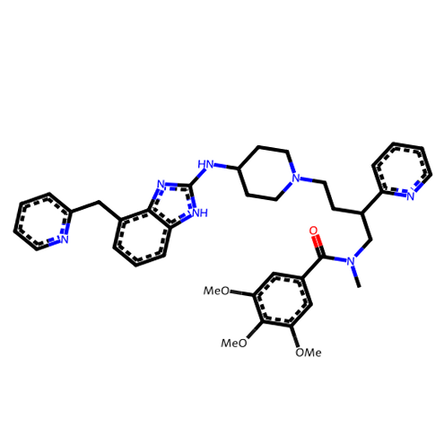 COc1cc(C(=O)N(C)CC(CCN2CCC(Nc3nc4c(Cc5ccccn5)cccc4[nH]3)CC2)c2ccccn2)cc(OC)c1OC